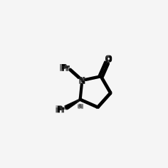 CC(C)[C@@H]1CCC(=O)N1C(C)C